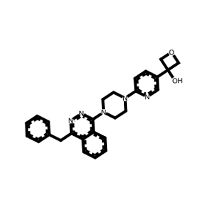 OC1(c2ccc(N3CCN(c4nnc(Cc5ccccc5)c5ccccc45)CC3)nc2)COC1